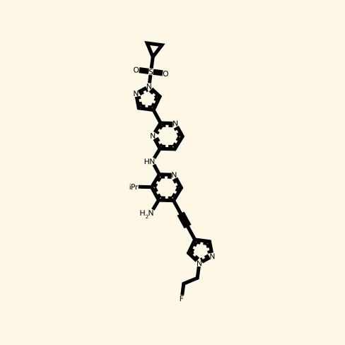 CC(C)c1c(Nc2ccnc(-c3cnn(S(=O)(=O)C4CC4)c3)n2)ncc(C#Cc2cnn(CCF)c2)c1N